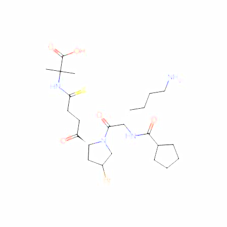 CC(C)(NC(=S)CCC(=O)[C@@H]1CC(Br)CN1C(=O)[C@H](CCCCN)NC(=O)C1CCCC1)C(=O)O